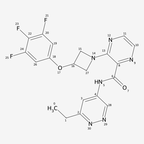 CCc1cc(NC(=O)c2nccnc2N2CC(Oc3cc(F)c(F)c(F)c3)C2)cnn1